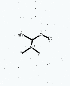 CCCC(OCC)N(C)C